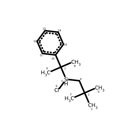 CC(C)(C)C[SiH](Cl)C(C)(C)c1ccccc1